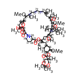 CO[C@H]1C[C@@H]2CC[C@@H](C)[C@@](O)(O2)C(=O)C(=O)N2CCCC(C2)C(=O)O[C@H]([C@H](C)C[C@@H]2CC[C@@H](OC(=O)C3(C)COC(C)(C)OC3)[C@H](OC)C2)CC(=O)[C@H](C)/C=C(\C)[C@@H](O[Si](C)(C)C)[C@@H](OC)C(=O)[C@H](C)C[C@H](C)/C=C/C=C/C=C/1C